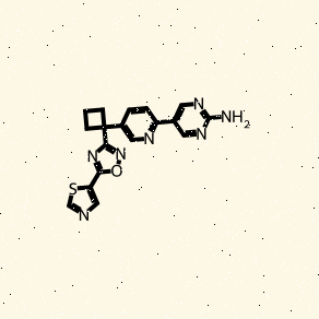 Nc1ncc(-c2ccc(C3(c4noc(-c5cncs5)n4)CCC3)cn2)cn1